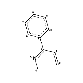 C=C/C(=N\C)c1ccccc1